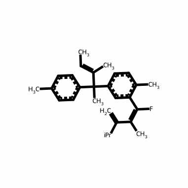 C=C(/C(C)=C(/F)c1cc(C(C)(/C(C)=C/C)c2ccc(C)cc2)ccc1C)C(C)C